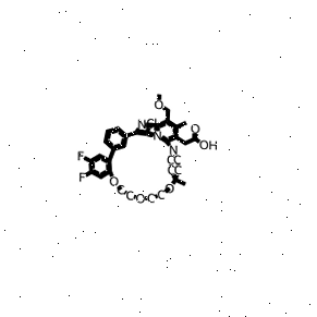 COCc1c(C)c(CC(=O)O)c2n3c(Cl)c(nc13)-c1cccc(c1)-c1cc(F)c(F)cc1OCCOCCOC1(C)CCN2CC1